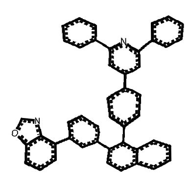 c1ccc(-c2cc(-c3ccc(-c4c(-c5cccc(-c6cccc7ocnc67)c5)ccc5ccccc45)cc3)cc(-c3ccccc3)n2)cc1